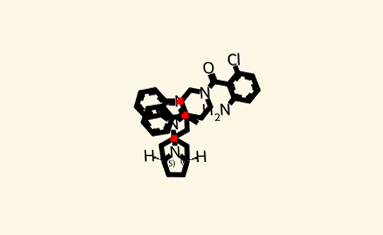 Cc1nc2ccccc2n1C1C[C@H]2CC[C@@H](C1)N2CCC1(c2ccccc2)CCN(C(=O)c2c(N)cccc2Cl)CC1